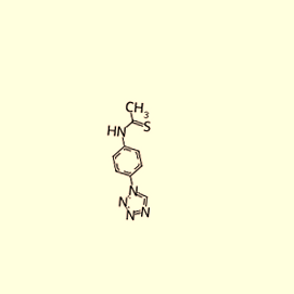 CC(=S)Nc1ccc(-n2cnnn2)cc1